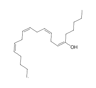 [CH2]CCC/C=C\C/C=C\C/C=C\C/C=C(/O)CCCCC